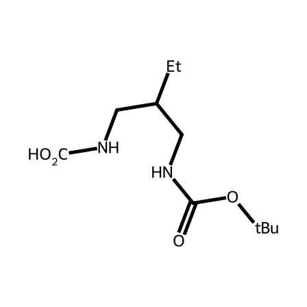 CCC(CNC(=O)O)CNC(=O)OC(C)(C)C